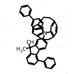 CC1(C)c2cc(N(c3ccc(-c4ccccc4)cc3)c3cc4ccc3CCc3ccc(cc3)CC4)ccc2-c2c(-c3ccccc3)cccc21